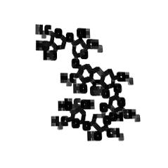 Cc1c(OC2CC(OC3CC(O)C(O)C(C)O3)C(O)C(C)O2)cc2cc3c(c(O)c2c1O)C(=O)[C@@H](OC1CC(OC2CC(OC4CC(C)(O)C(O)C(C)O4)C(O)C(C)O2)C(O)C(C)O1)C(C)C3